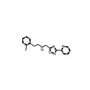 Fc1ccccc1CCNCc1nc(-c2ccccn2)no1